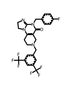 O=C1C2=C(CCN(Cc3cc(C(F)(F)F)cc(C(F)(F)F)c3)C2)N2CCN=C2N1Cc1ccc(F)cc1